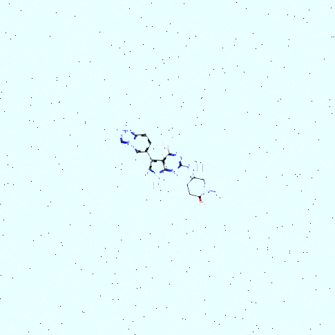 COc1nc(N[C@@H]2CCC(=O)N(C)C2)nc2[nH]cc(-c3ccc4nncn4c3)c12